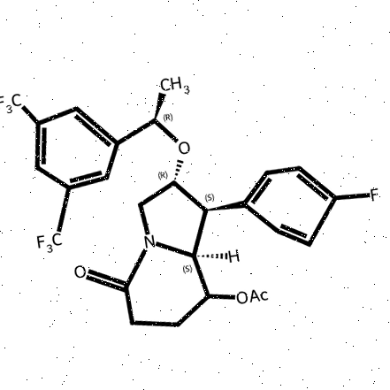 CC(=O)OC1CCC(=O)N2C[C@H](O[C@H](C)c3cc(C(F)(F)F)cc(C(F)(F)F)c3)[C@@H](c3ccc(F)cc3)[C@@H]12